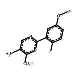 CCCOc1ccc(F)c(-c2ncc(N)c(C(=O)O)n2)c1